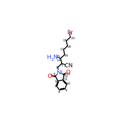 N#CC(CN1C(=O)c2ccccc2C1=O)C(N)CCCCCBr